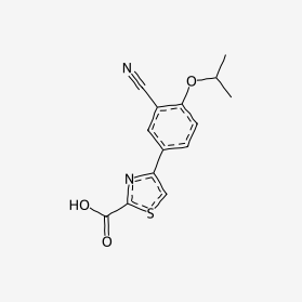 CC(C)Oc1ccc(-c2csc(C(=O)O)n2)cc1C#N